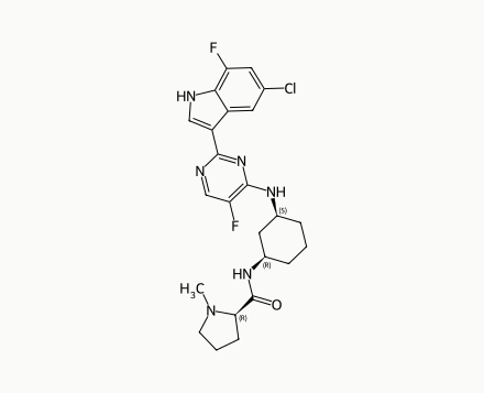 CN1CCC[C@@H]1C(=O)N[C@@H]1CCC[C@H](Nc2nc(-c3c[nH]c4c(F)cc(Cl)cc34)ncc2F)C1